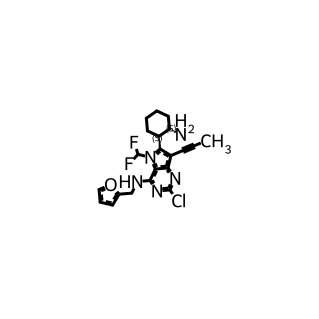 CC#Cc1c([C@H]2CCCC[C@@H]2N)n(C(F)F)c2c(NCc3ccco3)nc(Cl)nc12